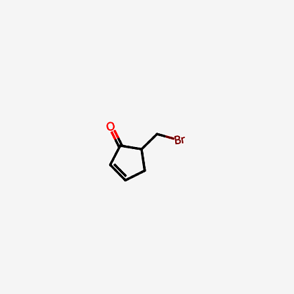 O=C1C=CCC1CBr